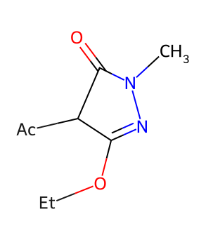 CCOC1=NN(C)C(=O)C1C(C)=O